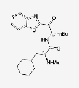 CCCC[C@H](NC(=O)[C@H](CC1CCCCC1)NC(C)=O)C(=O)c1nc2ccccc2o1